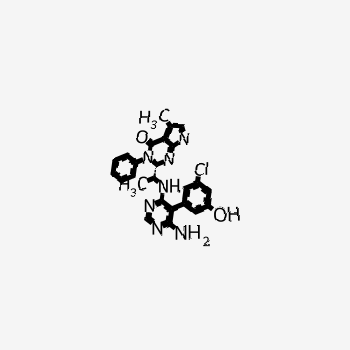 CC1=C2C(=O)N(c3ccccc3)[C@@H](C(C)Nc3ncnc(N)c3-c3cc(O)cc(Cl)c3)N=C2N=C1